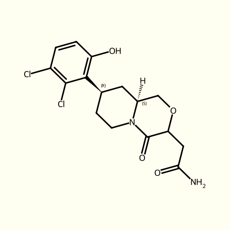 NC(=O)CC1OC[C@@H]2C[C@H](c3c(O)ccc(Cl)c3Cl)CCN2C1=O